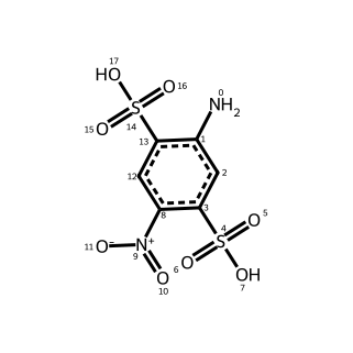 Nc1cc(S(=O)(=O)O)c([N+](=O)[O-])cc1S(=O)(=O)O